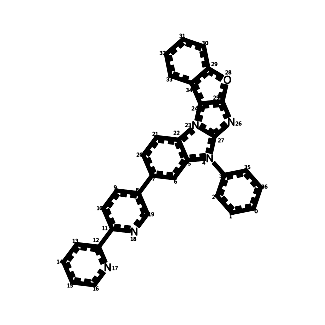 c1ccc(-n2c3cc(-c4ccc(-c5ccccn5)nc4)ccc3n3c4c(nc23)oc2ccccc24)cc1